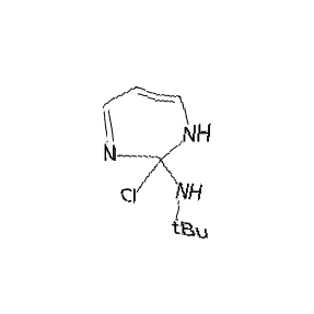 CC(C)(C)NC1(Cl)N=CC=CN1